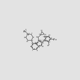 CC(=O)N1CCC(c2cccc3cc(-n4ncc(F)c4C)n(CC4CC4)c23)CC1